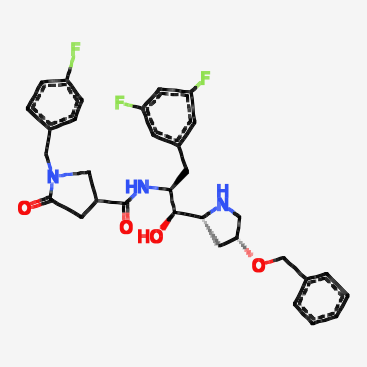 O=C(N[C@@H](Cc1cc(F)cc(F)c1)[C@H](O)[C@H]1C[C@@H](OCc2ccccc2)CN1)C1CC(=O)N(Cc2ccc(F)cc2)C1